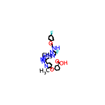 Cc1nc(-c2nnn(C)c2CNc2ncc(F)c(NCCOc3ccc(F)cc3)n2)ccc1O[C@H]1CCC[C@H](C(=O)O)C1